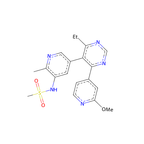 CCc1ncnc(-c2ccnc(OC)c2)c1-c1cnc(C)c(NS(C)(=O)=O)c1